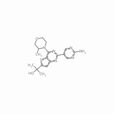 CC1COCCN1c1nc(-c2cnc(N)nc2)nc2cc(C(C)(C)O)sc12